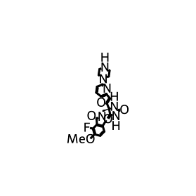 COc1ccc2c(c1F)C(=O)N(C[C@@]1(c3cc4nc(N5CCNCC5)ccc4o3)NC(=O)NC1=O)C2